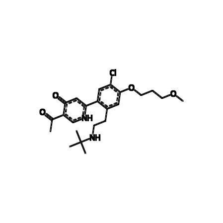 COCCCOc1cc(CCNC(C)(C)C)c(-c2cc(=O)c(C(C)=O)c[nH]2)cc1Cl